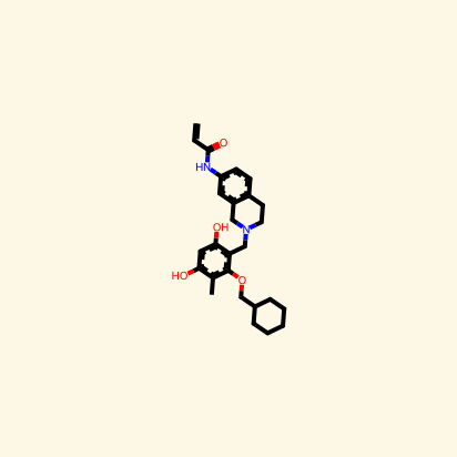 C=CC(=O)Nc1ccc2c(c1)CN(Cc1c(O)cc(O)c(C)c1OCC1CCCCC1)CC2